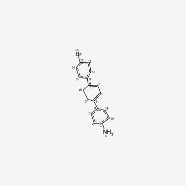 Nc1ccc(C2=CC=C(c3ccc(Br)cc3)CC2)cc1